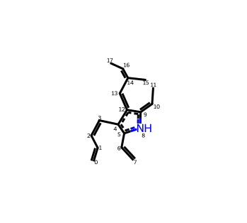 C=C/C=C\c1c(C=C)[nH]c(=C/C)/c1=C\C(C)=C/C